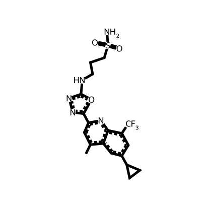 Cc1cc(-c2nnc(NCCCS(N)(=O)=O)o2)nc2c(C(F)(F)F)cc(C3CC3)cc12